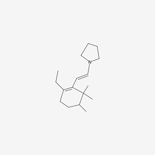 CCC1=C(C=CN2CCCC2)C(C)(C)C(C)CC1